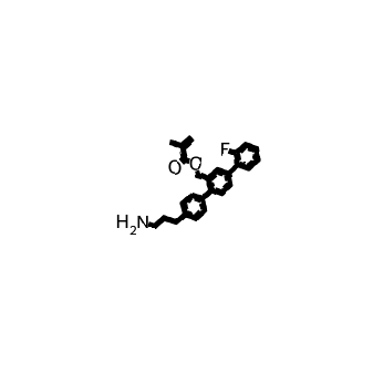 C=C(C)C(=O)OCc1cc(-c2ccccc2F)ccc1-c1ccc(CCCN)cc1